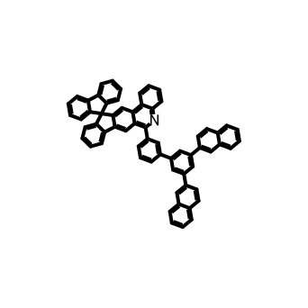 c1cc(-c2cc(-c3ccc4ccccc4c3)cc(-c3ccc4ccccc4c3)c2)cc(-c2nc3ccccc3c3cc4c(cc23)-c2ccccc2C42c3ccccc3-c3ccccc32)c1